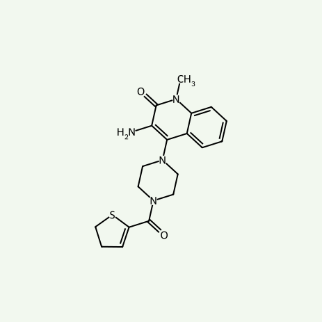 Cn1c(=O)c(N)c(N2CCN(C(=O)C3=CCCS3)CC2)c2ccccc21